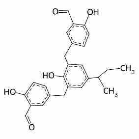 CCC(C)c1cc(Cc2ccc(O)c(C=O)c2)c(O)c(Cc2ccc(O)c(C=O)c2)c1